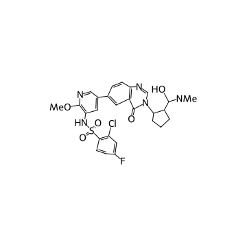 CNC(O)C1CCCC1n1cnc2ccc(-c3cnc(OC)c(NS(=O)(=O)c4ccc(F)cc4Cl)c3)cc2c1=O